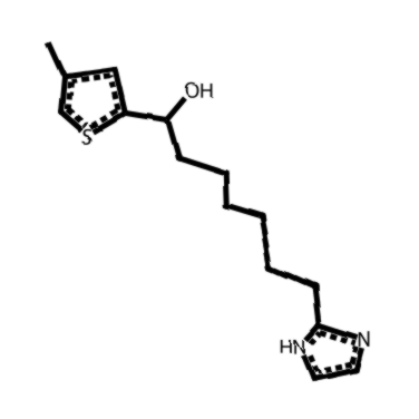 Cc1csc(C(O)CCCCCCc2ncc[nH]2)c1